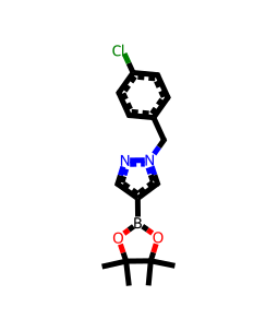 CC1(C)OB(c2cnn(Cc3ccc(Cl)cc3)c2)OC1(C)C